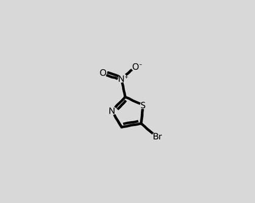 O=[N+]([O-])c1ncc(Br)s1